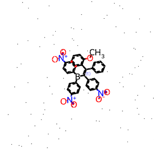 COc1ccccc1/C(=C(\B(c1ccc([N+](=O)[O-])cc1)c1ccc([N+](=O)[O-])cc1)c1ccc([N+](=O)[O-])cc1)c1ccccc1